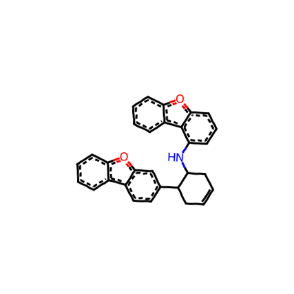 C1=CCC(c2ccc3c(c2)oc2ccccc23)C(Nc2cccc3oc4ccccc4c23)C1